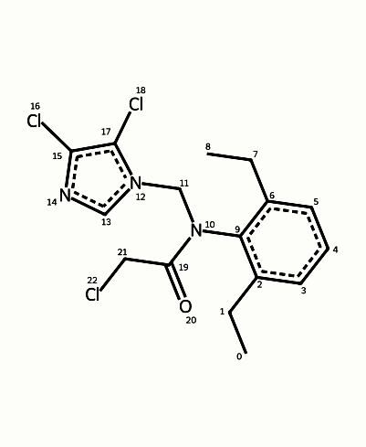 CCc1cccc(CC)c1N(Cn1cnc(Cl)c1Cl)C(=O)CCl